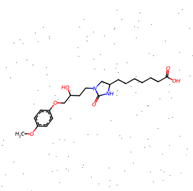 COc1ccc(OCC(O)CCN2CC(CCCCCCC(=O)O)NC2=O)cc1